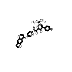 CC(C)n1cc(-c2ccc(F)cc2)c(=O)c(C(=O)Nc2ccc(Oc3ccnc4cc5c(cc34)OCC5)cn2)n1